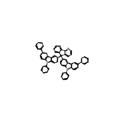 c1ccc(-c2ccc3c(c2)c2cc(C4(c5ccc6c(c5)c5cc(-c7ccccc7)ccc5n6-c5ccccc5)c5cccnc5-c5ncccc54)ccc2n3-c2ccccc2)cc1